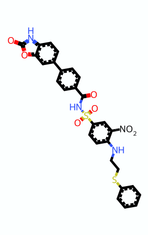 O=C(NS(=O)(=O)c1ccc(NCCSc2ccccc2)c([N+](=O)[O-])c1)c1ccc(-c2ccc3[nH]c(=O)oc3c2)cc1